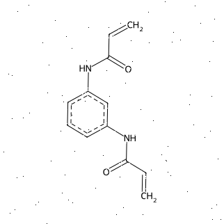 C=CC(=O)Nc1cccc(NC(=O)C=C)c1